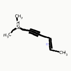 C/C=C/C#C[SiH](C)C